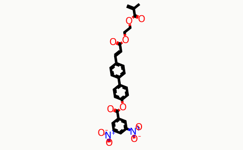 C=C(C)C(=O)OCCOC(=O)/C=C/c1ccc(-c2ccc(OC(=O)c3cc([N+](=O)[O-])cc([N+](=O)[O-])c3)cc2)cc1